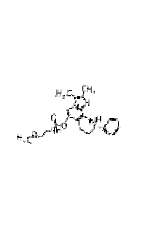 COCCNC(=O)Oc1cn2c(C)c(C)nc2c2c1CC[C@@H](c1ccccc1)N2